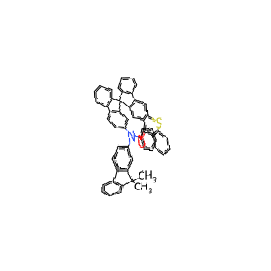 CC1(C)c2ccccc2-c2ccc(N(c3ccccc3)c3ccc4c(c3)C3(c5ccccc5-4)c4ccccc4-c4cc5sc6ccccc6c(=O)c5cc43)cc21